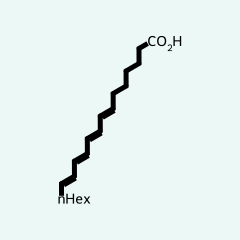 CCCCCCC=CC=CC=CC=CCCCCCC(=O)O